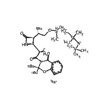 CCCCC1(CCCC)Oc2ccccc2C(=O)N1C(=O)[C@H](C)[C@H]1NC(=O)[C@H]1[C@@H](CO[SiH](C)C)C(C)(C)C.C[Si](C)(C)[N-][Si](C)(C)C.[Na+]